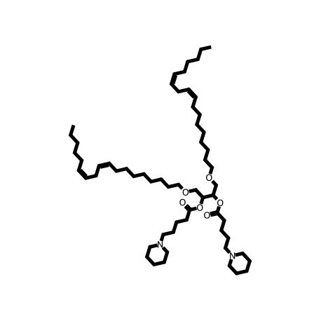 CCCCC/C=C\C/C=C\CCCCCCCCOCC(OC(=O)CCCCN1CCCCC1)C(COCCCCCCCC/C=C\C/C=C\CCCCC)OC(=O)CCCCN1CCCCC1